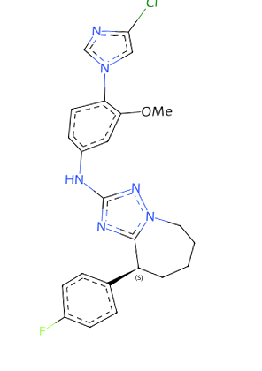 COc1cc(Nc2nc3n(n2)CCCC[C@H]3c2ccc(F)cc2)ccc1-n1cnc(Cl)c1